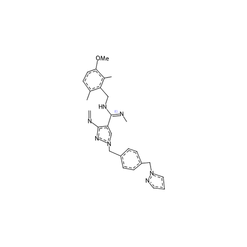 C=Nc1nn(Cc2ccc(Cn3cccn3)cc2)cc1/C(=N\C)NCc1c(C)ccc(OC)c1C